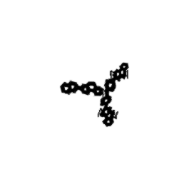 c1ccc2cc(-c3ccc4c(ccc5cc(N(c6ccc(-c7cc8cnc9ccccc9c8cn7)cc6)c6ccc(-c7cc8cnc9ccccc9c8cn7)cc6)ccc54)c3)ccc2c1